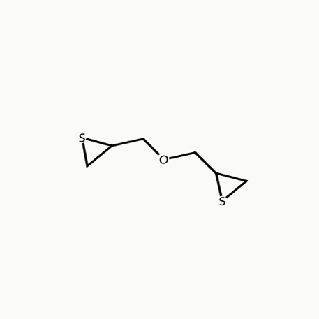 C(OCC1CS1)C1CS1